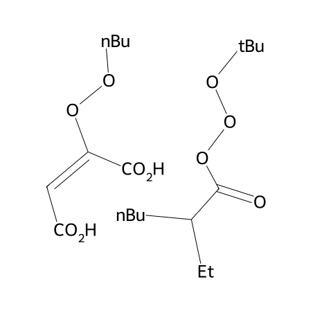 CCCCC(CC)C(=O)OOOC(C)(C)C.CCCCOO/C(=C/C(=O)O)C(=O)O